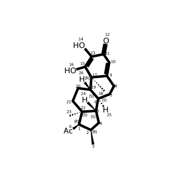 CC(=O)[C@@H]1[C@H](C)C[C@H]2[C@@H]3CCC4=CC(=O)C(O)=C(O)[C@]4(C)[C@H]3CC[C@]12C